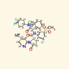 CS(=O)(=O)c1cc(F)cc(N(C(=O)[C@@H]2CCC(=O)N2c2cc(C#N)ccn2)[C@H](C(=O)NC2CCC(F)(F)CC2)c2ccccc2Cl)c1